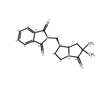 CC1(C)CC2[C@H](CN3C(=O)c4ccccc4C3=O)CCN2C1=O